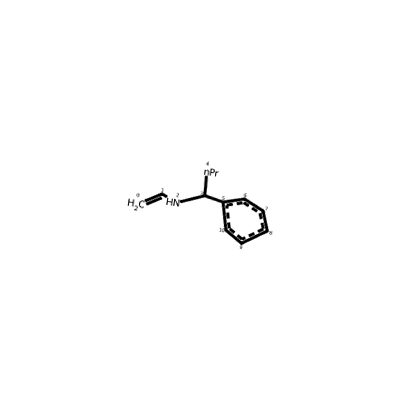 C=CNC(CCC)c1ccccc1